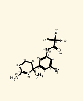 CC1(c2cc(Br)cc(NC(=O)C(F)(F)F)c2)CCSC(N)=N1